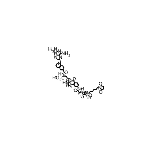 CC(C)[C@H](NC(=O)CCCCCN1C(=O)C=CC1=O)C(=O)N[C@@H](C)C(=O)Nc1ccc(C(=O)NCCC[C@H](NC(=O)c2ccc3c(c2)CCCN3Cc2cnc3nc(N)nc(N)c3n2)C(=O)O)c(-c2nn[nH]n2)c1